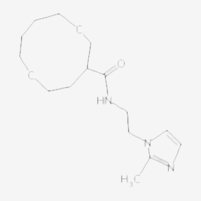 Cc1nccn1CCNC(=O)C1CCCCCCCCC1